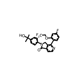 CC(C)(O)c1ccc(N2Cc3c(ccnc3-c3ccc(F)cc3OCC(F)(F)F)C2=O)cc1